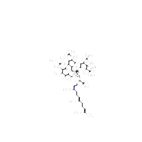 CC(=O)NC1C(OC2C(CO)OC(OC3C(OP(=O)(O)OC[C@@H](OC/C=C(/C)CC/C=C(\C)CCC=C(C)C)C(=O)O)OC(C(N)=O)C(C)(O)C3OC(N)=O)C(NC(C)=O)C2O)OC(CO)C(O)C1O